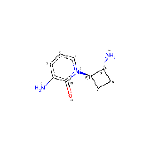 Nc1cccn([C@@H]2CC[C@H]2N)c1=O